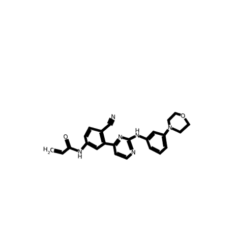 C=CC(=O)Nc1ccc(C#N)c(-c2ccnc(Nc3cccc(N4CCOCC4)c3)n2)c1